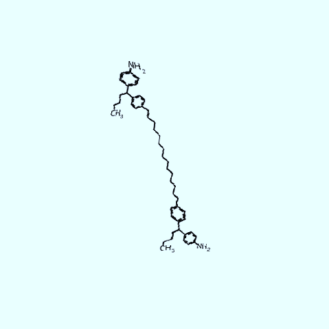 CCCCC(c1ccc(N)cc1)c1ccc(CCCCCCCCCCCCCCCc2ccc(C(CCCC)c3ccc(N)cc3)cc2)cc1